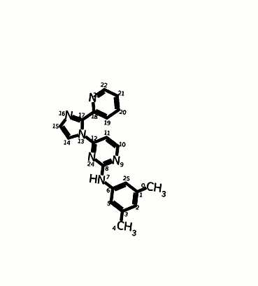 Cc1cc(C)cc(Nc2nccc(-n3ccnc3-c3ccccn3)n2)c1